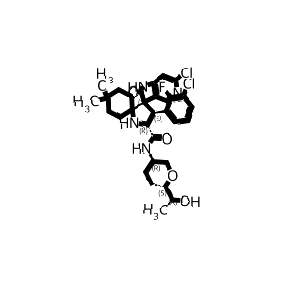 C[C@@H](O)[C@@H]1CC[C@@H](NC(=O)[C@@H]2NC3(CCC(C)(C)CC3)[C@]3(C(=O)Nc4cc(Cl)ncc43)[C@H]2c2cccc(Cl)c2F)CO1